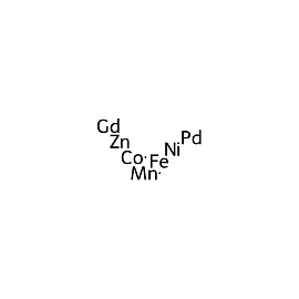 [Co].[Fe].[Gd].[Mn].[Ni].[Pd].[Zn]